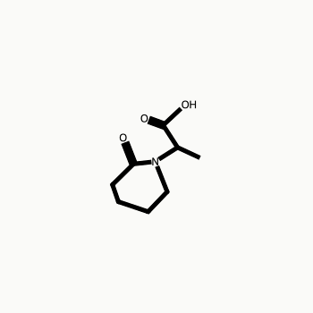 CC(C(=O)O)N1CCCCC1=O